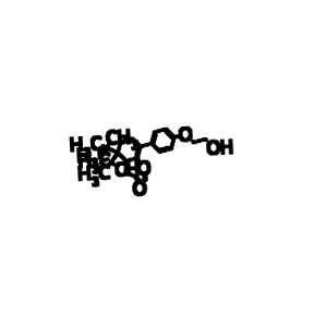 CC(C)(C)C1(C(C)(C)C)C=CC(c2ccc(OCCO)cc2)=C2OC(=O)C=C21